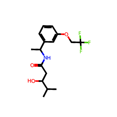 CC(NC(=O)CC(O)C(C)C)c1cccc(OCC(F)(F)F)c1